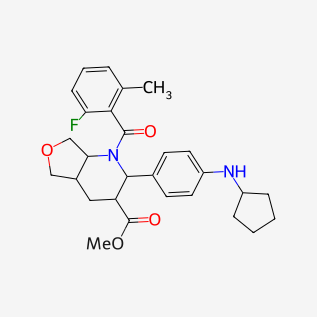 COC(=O)C1CC2COCC2N(C(=O)c2c(C)cccc2F)C1c1ccc(NC2CCCC2)cc1